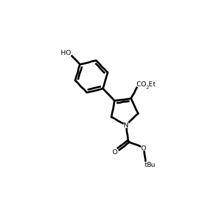 CCOC(=O)C1=C(c2ccc(O)cc2)CN(C(=O)OC(C)(C)C)C1